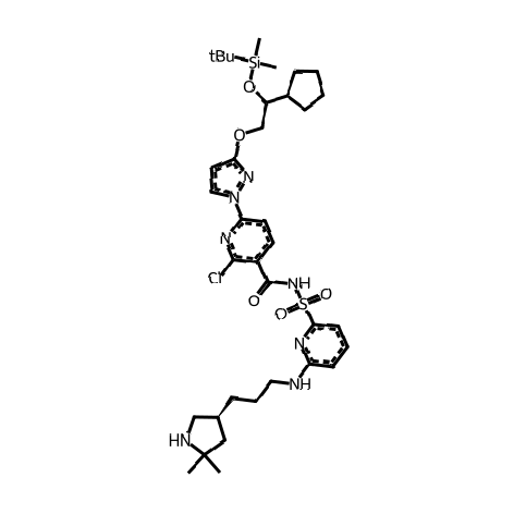 CC1(C)C[C@H](CCCNc2cccc(S(=O)(=O)NC(=O)c3ccc(-n4ccc(OCC(O[Si](C)(C)C(C)(C)C)C5CCCC5)n4)nc3Cl)n2)CN1